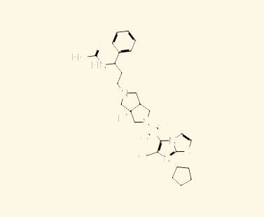 C1CCCC1.O=C(O)NC(CCN1CC2CN(S(=O)(=O)c3c(Cl)nc4sccn34)C[C@@H]2C1)c1ccccc1